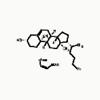 CC(C)CCCC(C)[C@H]1CC[C@H]2[C@@H]3CC=C4C[C@@H](O)CC[C@]4(C)[C@H]3CC[C@]12C.CCCCCCCC/C=C\CCCCCCCCC